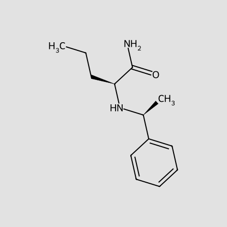 CCC[C@H](N[C@@H](C)c1ccccc1)C(N)=O